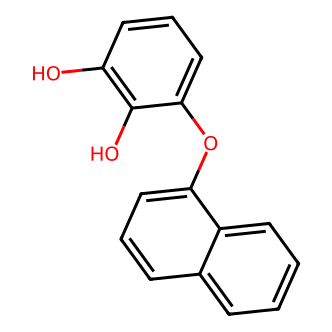 Oc1cccc(Oc2cccc3ccccc23)c1O